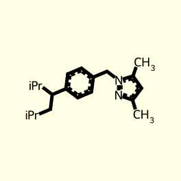 Cc1cc(C)n(Cc2ccc(C(CC(C)C)C(C)C)cc2)n1